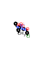 Cc1ccc2c(c1)c(N1CCN(C(=O)c3ccc(Cl)cc3)CC1)c([N+](=O)[O-])c(=O)n2Cc1ccccc1